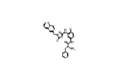 N[C@@H](Cc1ccccc1)C(=O)Nc1ccc(Cl)c(NC2=NC(=O)/C(=C/c3ccc4ncccc4c3)S2)c1